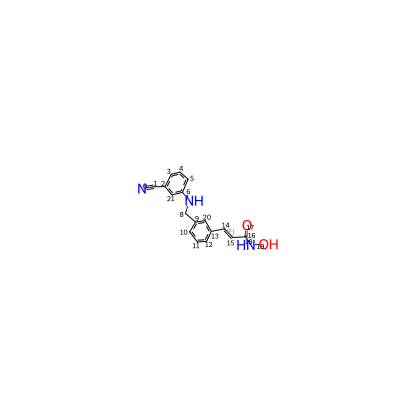 N#Cc1cccc(NCc2cccc(/C=C/C(=O)NO)c2)c1